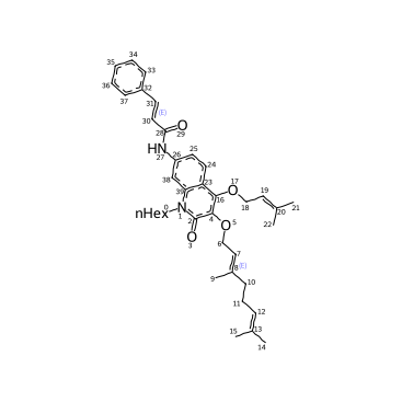 CCCCCCn1c(=O)c(OC/C=C(\C)CCC=C(C)C)c(OCC=C(C)C)c2ccc(NC(=O)/C=C/c3ccccc3)cc21